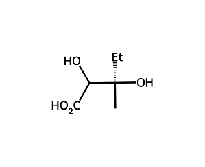 CC[C@@](C)(O)C(O)C(=O)O